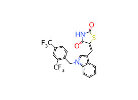 O=C1NC(=O)C(=Cc2cn(Cc3ccc(C(F)(F)F)cc3C(F)(F)F)c3ccccc23)S1